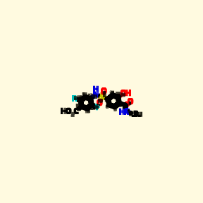 CC(C)(C)NC(=O)c1ccc(S(=O)(=O)Nc2cc(F)c(C(=O)O)cc2F)cc1O